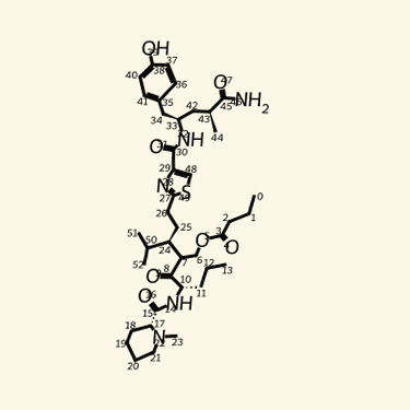 CCCC(=O)OCC(C(=O)[C@H](CCC)NC(=O)[C@H]1CCCCN1C)[C@H](CCc1nc(C(=O)N[C@@H](Cc2ccc(O)cc2)C[C@H](C)C(N)=O)cs1)C(C)C